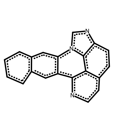 c1ccc2cc3c(cc2c1)c1nccc2ccc4ncn3c4c21